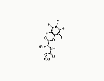 CC(C)(C)OC(=O)NC(C(=O)Oc1c(F)c(F)c(F)c(F)c1F)C(C)(C)C